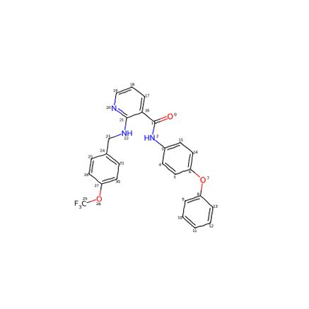 O=C(Nc1ccc(Oc2ccccc2)cc1)c1cccnc1NCc1ccc(OC(F)(F)F)cc1